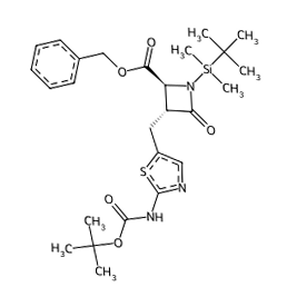 CC(C)(C)OC(=O)Nc1ncc(C[C@H]2C(=O)N([Si](C)(C)C(C)(C)C)[C@@H]2C(=O)OCc2ccccc2)s1